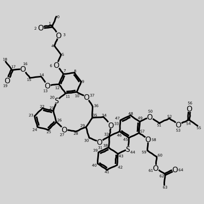 CC(=O)OCCOc1ccc2c(c1OCCOC(C)=O)Sc1ccccc1OCC1COC3(OCC1CO2)c1ccccc1Sc1c3ccc(OCCOC(C)=O)c1OCCOC(C)=O